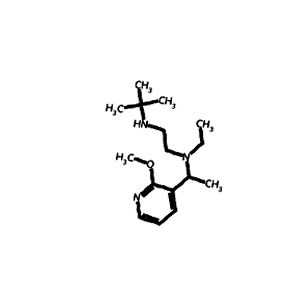 CCN(CCNC(C)(C)C)C(C)c1cccnc1OC